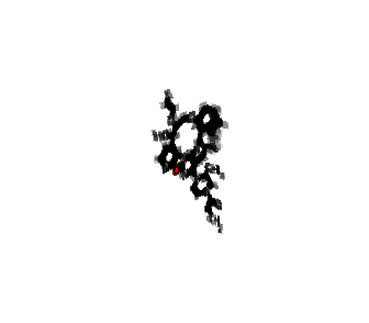 C=CC(=O)N1CCN(c2nc(=O)n3c4c2=CC(F)C(N=4)c2c(F)cccc2OCC(OCCF)C(O)c2ccnc(C(C)C)c2-3)[C@@H](C)C1